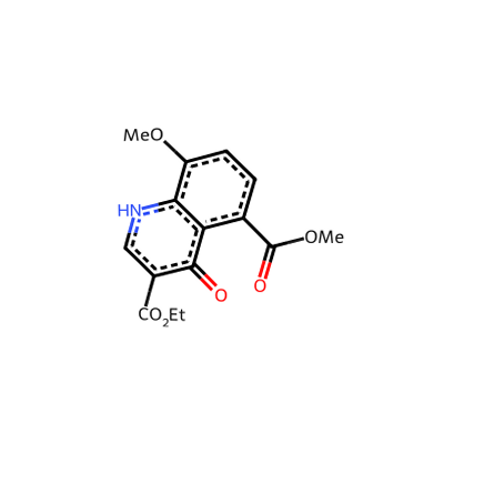 CCOC(=O)c1c[nH]c2c(OC)ccc(C(=O)OC)c2c1=O